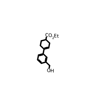 CCOC(=O)C1CC=C(c2cccc(CO)c2)CC1